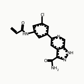 C=CC(=O)Nc1cc(Cl)cc(-c2cc3c(C(N)=O)n[nH]c3cn2)c1